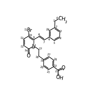 CCc1cccc(C=Cc2c(Br)ccc(=O)n2CCc2ccc(C(=O)O)cc2)c1